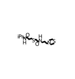 CC(C)NC(=O)CCSCC(=O)NCCCN1CCSCC1